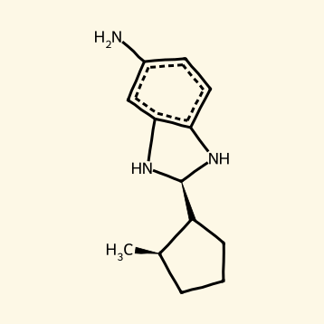 C[C@@H]1CCCC1[C@@H]1Nc2ccc(N)cc2N1